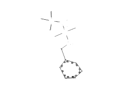 C[Si](C)(C)O[Si](C)(C)SCc1ccccc1